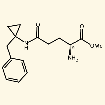 COC(=O)[C@@H](N)CCC(=O)NC1(Cc2ccccc2)CC1